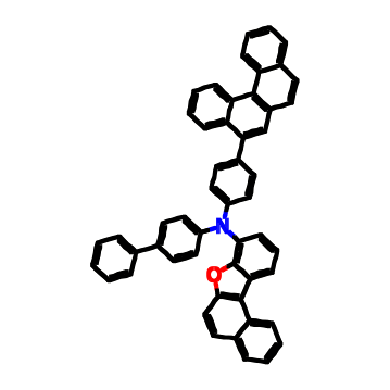 c1ccc(-c2ccc(N(c3ccc(-c4cc5ccc6ccccc6c5c5ccccc45)cc3)c3cccc4c3oc3ccc5ccccc5c34)cc2)cc1